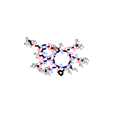 CCC(C)(C)C(=O)OCCC(=O)N1CCN(C(=O)OC(C)(C)C)CC1C(=O)N[C@H](C(=O)N[C@@H](CCNC(=O)OC(C)(C)C)C(=O)N[C@H]1CCNC(=O)[C@H]([C@H](C)O)NC(=O)[C@H](CCNC(=O)OC(C)(C)C)NC(=O)[C@H](CCNC(=O)OC(C)(C)C)NC(=O)[C@H](CC(C)C)NC(=O)[C@@H](Cc2ccccc2)NC(=O)[C@H](CCNC(=O)OC(C)(C)C)NC1=O)C(C)O